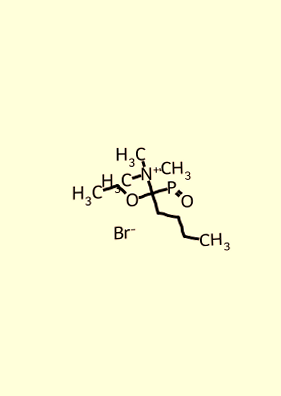 CCCCC(OCC)(P=O)[N+](C)(C)C.[Br-]